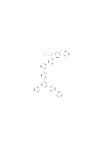 Bc1c(B)c(B)c2c(c1B)-c1cc3c(cc1C2(C)C)C1(c2cc(-c4cccc(-c5ccc(-c6cc(-c7ccccc7)cc(-c7ccc8c(c7)oc7ccccc78)c6)cc5)c4)c(C)cc2-3)C2CC3CC(C2)CC1C3